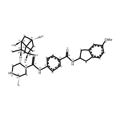 COc1ccc2c(c1)CC(NC(=O)c1ccc(NC(=N[C@H]3C[C@@H]4C[C@@H]([C@H]3C)C4(C)C)N3CCN[C@@H](C)C3)cc1)C2